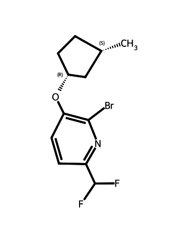 C[C@H]1CC[C@@H](Oc2ccc(C(F)F)nc2Br)C1